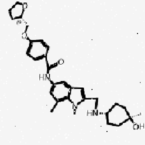 Cc1cc(NC(=O)c2ccc(OC[C@@H]3CCCO3)cc2)cc2cc(CN[C@H]3CC[C@](C)(O)CC3)n(C)c12